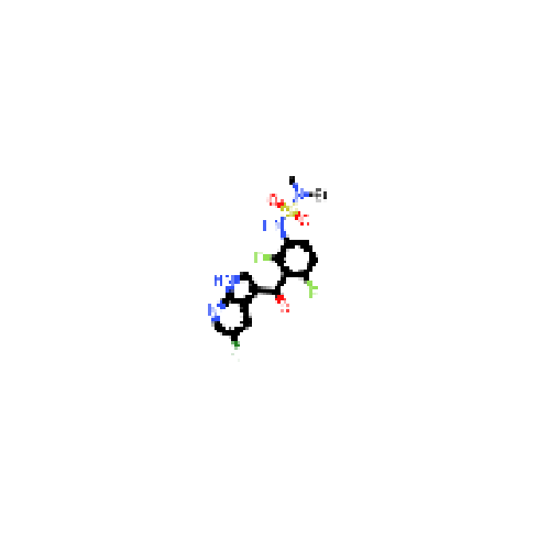 CCN(C)S(=O)(=O)Nc1ccc(F)c(C(=O)c2c[nH]c3ncc(Cl)cc23)c1F